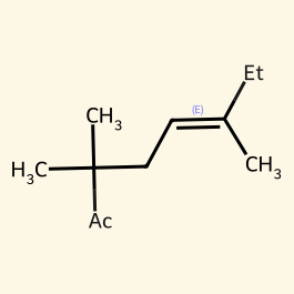 CC/C(C)=C/CC(C)(C)C(C)=O